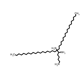 CCCCCCCCCCCCCCCCCCC(N)(CCCCCCCCCCCCCCCCCC)C(N)CCCCN